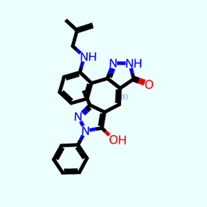 C=C(C)CNc1ccccc1C1=NNC(=O)/C1=C/c1c(C)nn(-c2ccccc2)c1O